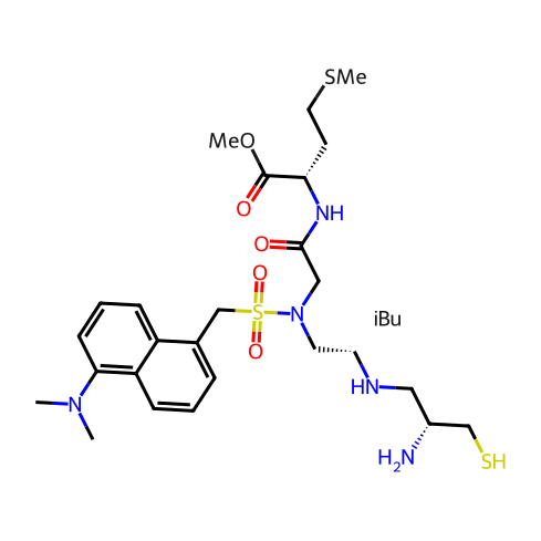 CC[C@H](C)[C@@H](CN(CC(=O)N[C@@H](CCSC)C(=O)OC)S(=O)(=O)Cc1cccc2c(N(C)C)cccc12)NC[C@@H](N)CS